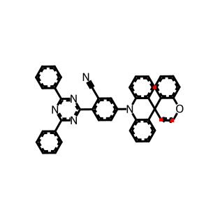 N#Cc1cc(N2c3ccccc3C3(c4ccccc4Oc4ccccc43)c3ccccc32)ccc1-c1nc(-c2ccccc2)nc(-c2ccccc2)n1